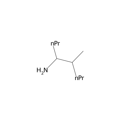 CCCC(C)C(N)CCC